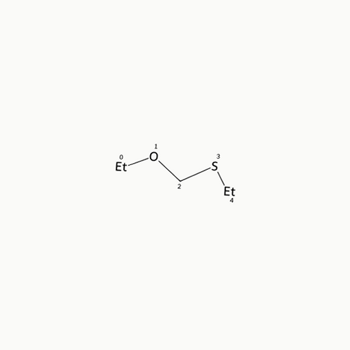 CCOCSCC